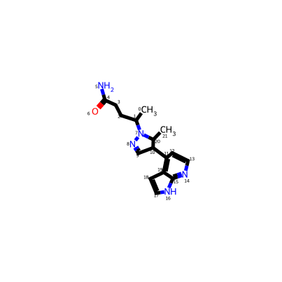 CC(CCC(N)=O)N1N=CC(c2ccnc3[nH]ccc23)C1C